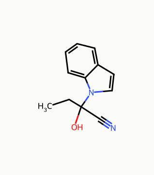 CCC(O)(C#N)n1ccc2ccccc21